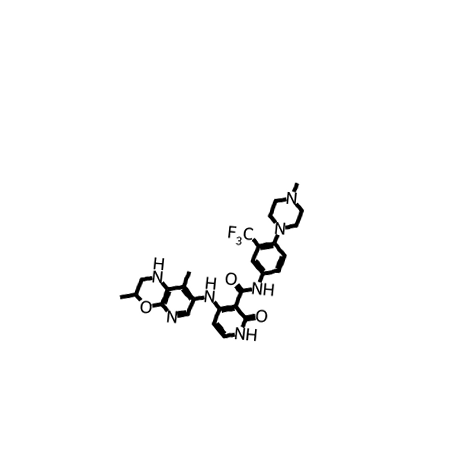 Cc1c(Nc2cc[nH]c(=O)c2C(=O)Nc2ccc(N3CCN(C)CC3)c(C(F)(F)F)c2)cnc2c1NCC(C)O2